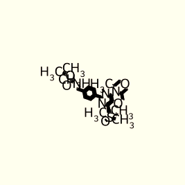 C[C@@H]1COCC2COc3c(nc(-c4ccc(CNC(=O)OC(C)(C)C)cc4)nc3C(C)(C)[S+](C)[O-])N21